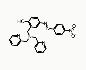 O=[N+]([O-])c1ccc(N=Nc2ccc(O)c(CN(Cc3ccccn3)Cc3ccccn3)c2)cc1